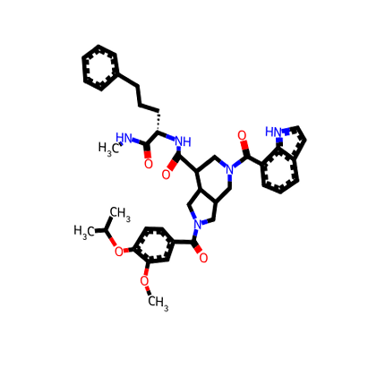 CNC(=O)[C@H](CCCc1ccccc1)NC(=O)C1CN(C(=O)c2cccc3cc[nH]c23)CC2CN(C(=O)c3ccc(OC(C)C)c(OC)c3)CC21